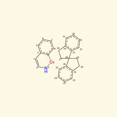 C1=Cc2ccccc2ON1.c1ccc2c(c1)CCC21CCc2ccccc21